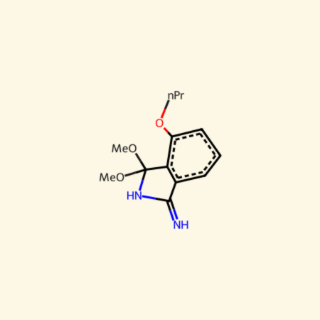 CCCOc1cccc2c1C(OC)(OC)NC2=N